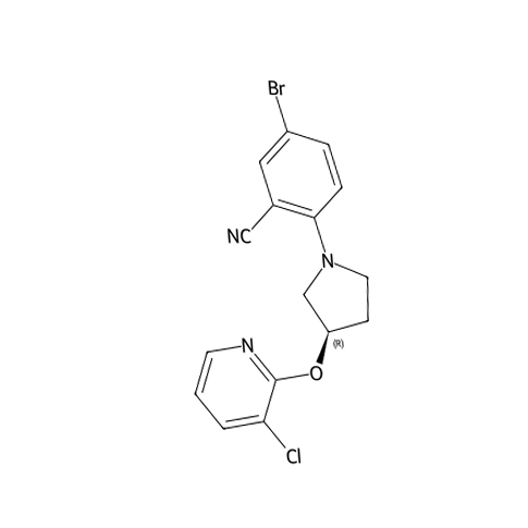 N#Cc1cc(Br)ccc1N1CC[C@@H](Oc2ncccc2Cl)C1